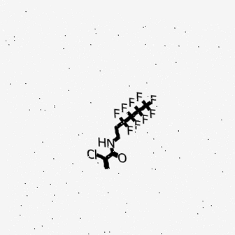 C=C(Cl)C(=O)NCCC(F)(F)C(F)(F)C(F)(F)C(F)(F)F